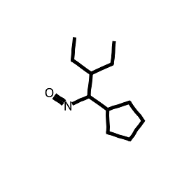 CCC(CC)C(N=O)C1CCCC1